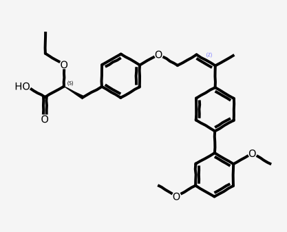 CCO[C@@H](Cc1ccc(OC/C=C(/C)c2ccc(-c3cc(OC)ccc3OC)cc2)cc1)C(=O)O